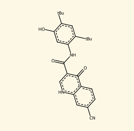 CC(C)(C)c1cc(C(C)(C)C)c(NC(=O)c2c[nH]c3cc(C#N)ccc3c2=O)cc1O